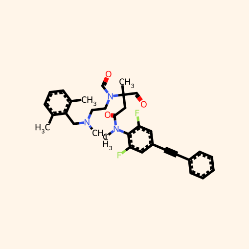 Cc1cccc(C)c1CN(C)CCN(C=O)C(C)(C=O)CC(=O)N(C)c1c(F)cc(C#Cc2ccccc2)cc1F